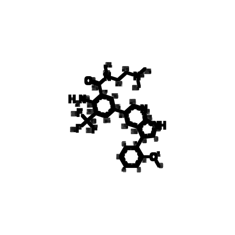 COc1ccccc1-c1c[nH]c2ncc(-c3cc(C(=O)N(C)CCN(C)C)c(N)c(C(F)(F)F)c3)cc12